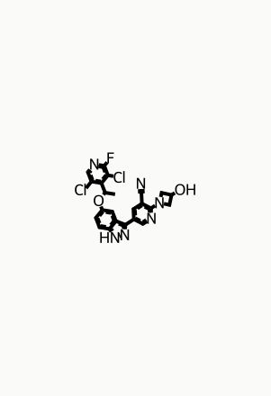 CC(Oc1ccc2[nH]nc(-c3cnc(N4CC(O)C4)c(C#N)c3)c2c1)c1c(Cl)cnc(F)c1Cl